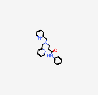 O=C(CCN(Cc1ccccn1)Cc1ccccn1)Nc1ccccc1